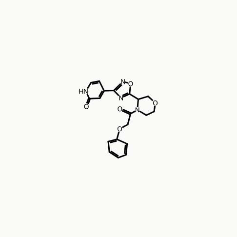 O=C(COc1ccccc1)N1CCOCC1c1nc(-c2cc[nH]c(=O)c2)no1